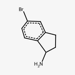 NC1CCc2cc(Br)ccc21